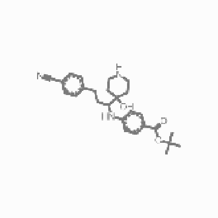 CC(C)(C)OC(=O)c1ccc(NC(CCc2ccc(C#N)cc2)C2(O)CCNCC2)cc1